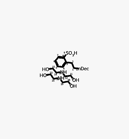 CCCCCCCCCCCCc1ccccc1S(=O)(=O)O.OCCNCCO.OCCNCCO